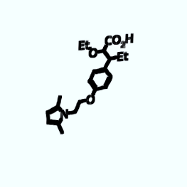 CCOC(C(=O)O)C(CC)c1ccc(OCCn2c(C)ccc2C)cc1